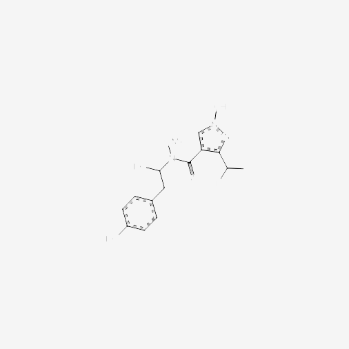 CON(C(=O)c1cn(C)nc1C(F)F)C(C)Cc1ccc(C)cc1